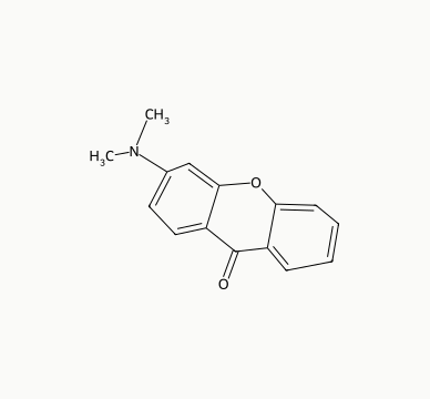 CN(C)c1ccc2c(=O)c3ccccc3oc2c1